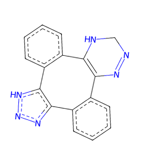 c1ccc2c(c1)C1=C(NCN=N1)c1ccccc1-c1[nH]nnc1-2